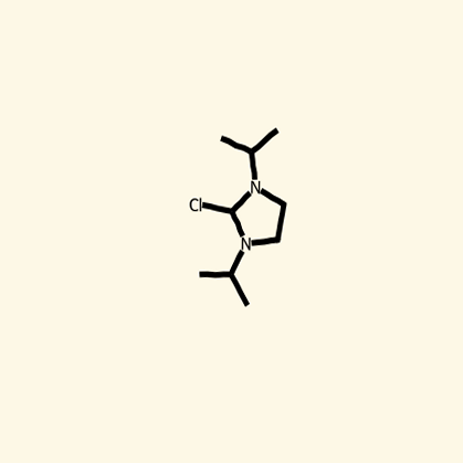 CC(C)N1CCN(C(C)C)C1Cl